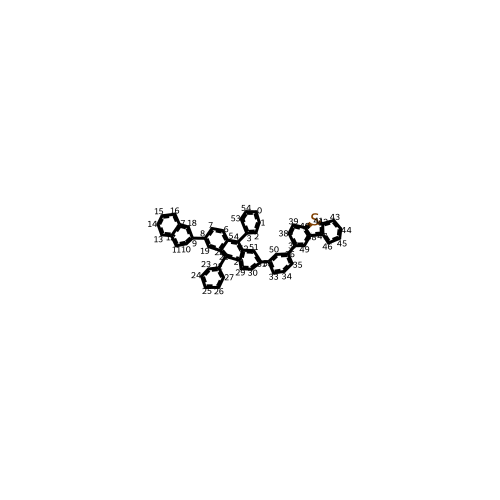 c1ccc(-c2c3ccc(-c4ccc5ccccc5c4)cc3c(-c3ccccc3)c3ccc(-c4cccc(-c5ccc6sc7ccccc7c6c5)c4)cc23)cc1